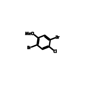 COc1cc(Br)c(Cl)cc1Br